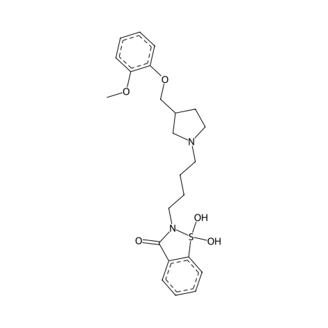 COc1ccccc1OCC1CCN(CCCCN2C(=O)c3ccccc3S2(O)O)C1